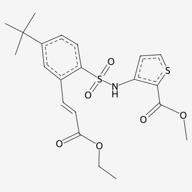 CCOC(=O)/C=C/c1cc(C(C)(C)C)ccc1S(=O)(=O)Nc1ccsc1C(=O)OC